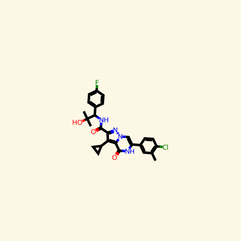 Cc1cc(-c2cn3nc(C(=O)NC(c4ccc(F)cc4)C(C)(C)O)c(C4CC4)c3c(=O)[nH]2)ccc1Cl